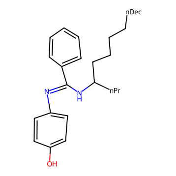 CCCCCCCCCCCCCCC(CCC)NC(=Nc1ccc(O)cc1)c1ccccc1